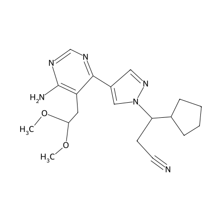 COC(Cc1c(N)ncnc1-c1cnn(C(CC#N)C2CCCC2)c1)OC